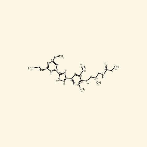 CCNc1nc(CC)cc(-c2nc(-c3cc(C)c(OC[C@@H](O)CNC(=O)CO)c(CC)c3)no2)n1